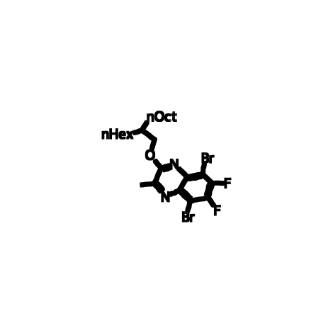 CCCCCCCCC(CCCCCC)COc1nc2c(Br)c(F)c(F)c(Br)c2nc1C